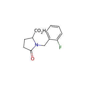 O=C(O)C1CCC(=O)N1Cc1ccccc1F